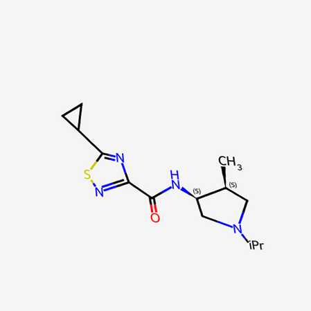 CC(C)N1C[C@H](C)[C@H](NC(=O)c2nsc(C3CC3)n2)C1